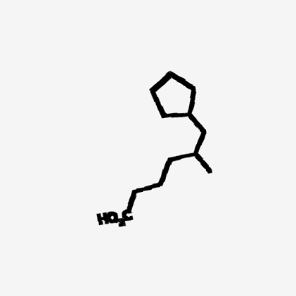 CC(CCCC(=O)O)CC1CCCC1